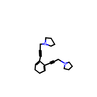 C(#CC1=CCCC=C1C#CCN1CCCC1)CN1CCCC1